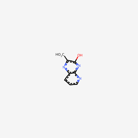 O=C(O)c1nc2cccnc2nc1O